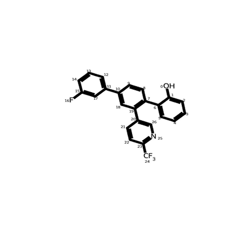 Oc1ccccc1-c1ccc(-c2cccc(F)c2)cc1-c1ccc(C(F)(F)F)nc1